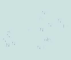 CCCCc1cn(-c2c(C#N)ccn2C(C)C)c(=O)n1CC1(c2cccc(-c3nnn[nH]3)c2)C=CNC=C1